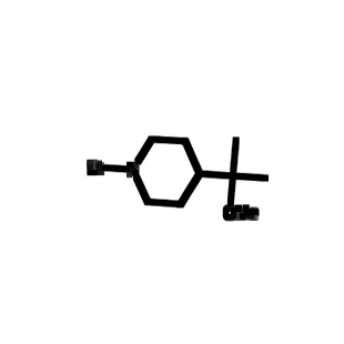 CCN1CCC(C(C)(C)OC)CC1